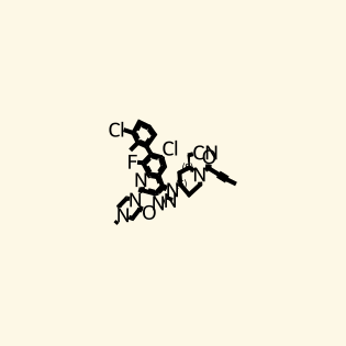 CC#CC(=O)N1CC[C@H](n2nnc3c(N4CCN(C)CC4=O)nc4c(F)c(-c5cccc(Cl)c5C)c(Cl)cc4c32)C[C@H]1CC#N